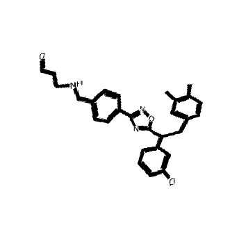 Cc1ccc(CC(c2cccc(Cl)c2)c2nc(-c3ccc(CNCCC=O)cc3)no2)cc1C